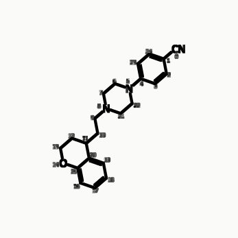 N#Cc1ccc(N2CCN(CCC3CCOc4ccccc43)CC2)cc1